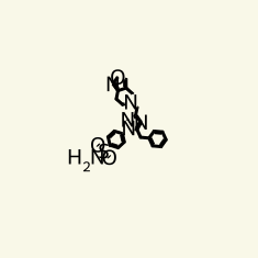 NS(=O)(=O)c1ccc(-n2nc(CN3CCc4nocc4C3)nc2Cc2ccccc2)cc1